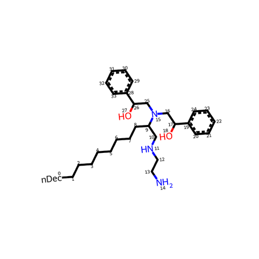 CCCCCCCCCCCCCCCCCCC(CNCCN)N(CC(O)c1ccccc1)CC(O)c1ccccc1